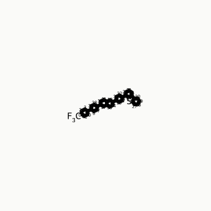 FC(F)(F)c1ccc(-c2ccc(-c3ccc4cc(-c5ccc(-c6cccc7c6sc6ccccc67)cc5)ccc4c3)cc2)cc1